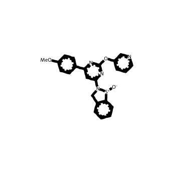 COc1ccc(-c2cc(N3Cc4ccccc4[S+]3[O-])nc(Oc3cccnc3)n2)cc1